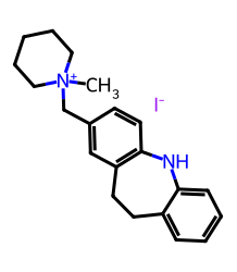 C[N+]1(Cc2ccc3c(c2)CCc2ccccc2N3)CCCCC1.[I-]